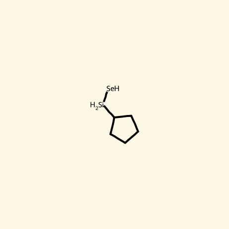 [SeH][SiH2]C1CCCC1